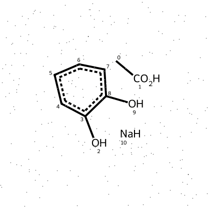 CC(=O)O.Oc1ccccc1O.[NaH]